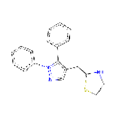 c1ccc(-c2c(CC3NCCS3)cnn2-c2ccccc2)cc1